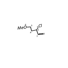 C=CC(Cl)CCOC